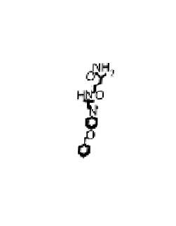 CC(C[CH]C(=O)NC(C)(C)CN(C)c1ccc(OCc2ccccc2)cc1)C(N)=O